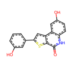 O=c1[nH]c2ccc(O)cc2c2cc(-c3cccc(O)c3)sc12